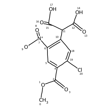 COC(=O)c1cc([N+](=O)[O-])c(C(C(=O)O)C(=O)O)cc1Cl